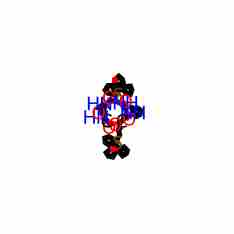 O=C1C[C@@H](C=CCCSC(c2ccccc2)(c2ccccc2)c2ccccc2)OC(=O)CNC(=O)C2(CC2)NC(=O)[C@@H](CSC(c2ccccc2)(c2ccccc2)c2ccccc2)NC(=O)[C@@H](Cc2ccccc2)N1